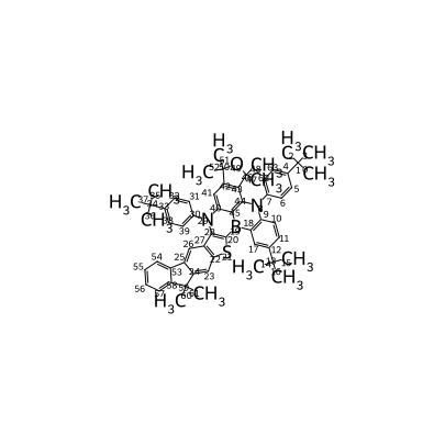 CC(C)(C)c1ccc(N2c3ccc(C(C)(C)C)cc3B3c4sc5cc6c(cc5c4N(c4ccc(C(C)(C)C)cc4)c4cc5c(c2c43)C(C)(C)OC5(C)C)-c2ccccc2C6(C)C)cc1